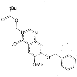 COc1cc2c(=O)n(COC(=O)C(C)(C)C)cnc2cc1OCc1ccccc1